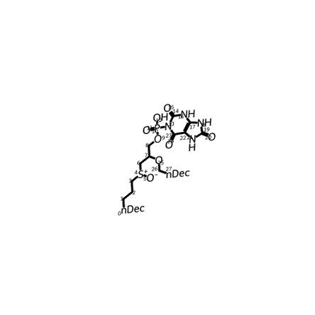 CCCCCCCCCCCCC[S+]([O-])CC(COP(=O)(O)n1c(=O)[nH]c2[nH]c(=O)[nH]c2c1=O)OCCCCCCCCCCC